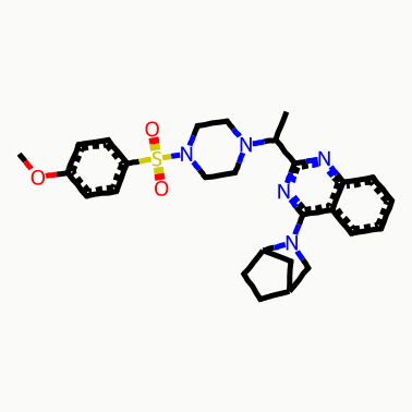 COc1ccc(S(=O)(=O)N2CCN(C(C)c3nc(N4CC5CCC4C5)c4ccccc4n3)CC2)cc1